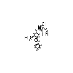 Cc1cc(Cc2nc(Cl)c(CC#N)[nH]2)ccc1OCc1ccccc1